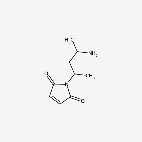 CC(N)CC(C)N1C(=O)C=CC1=O